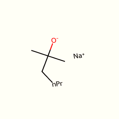 CCCCC(C)(C)[O-].[Na+]